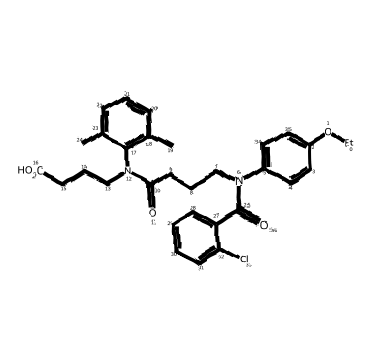 CCOc1ccc(N(CCCC(=O)N(CCCC(=O)O)c2c(C)cccc2C)C(=O)c2ccccc2Cl)cc1